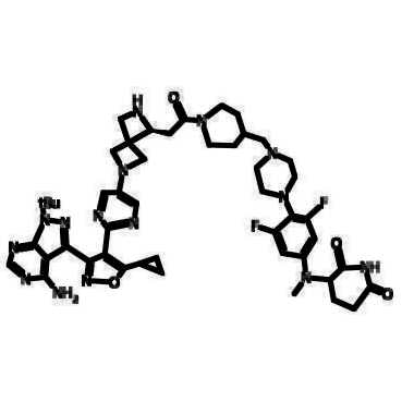 CN(c1cc(F)c(N2CCN(CC3CCN(C(=O)C[C@@H]4NCC45CN(c4cnc(-c6c(-c7nn(C(C)(C)C)c8ncnc(N)c78)noc6C6CC6)nc4)C5)CC3)CC2)c(F)c1)C1CCC(=O)NC1=O